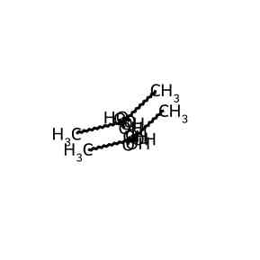 CCCCCCCCCCCCCCCC(=O)C(O)C(O)(CO)C(=O)CCCCCCCCCCCCCCC.CCCCCCCCCCCCCCCCCC(=O)C(O)(CO)C(O)C(=O)CCCCCCCCCCCCCCC